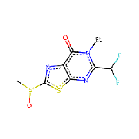 CCn1c(C(F)F)nc2sc([S+](C)[O-])nc2c1=O